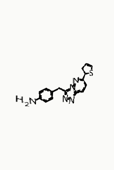 Nc1ccc(Cc2nnc3ccc(C4CC=CS4)nn23)cc1